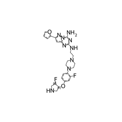 Nc1nc(NCCN2CCN(c3ccc(O[C@@H]4CNC[C@H]4F)cc3F)CC2)nc2cc(-c3ccco3)nn12